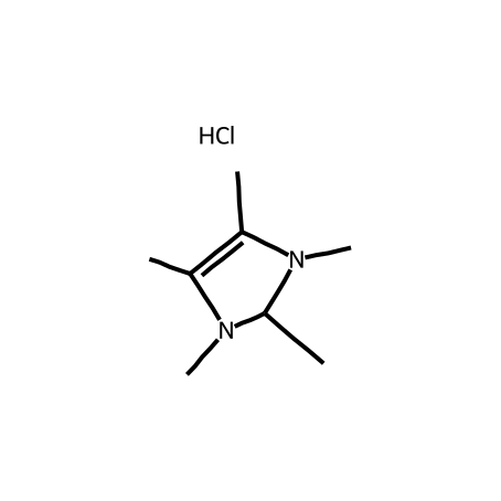 CC1=C(C)N(C)C(C)N1C.Cl